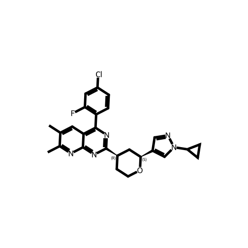 Cc1cc2c(-c3ccc(Cl)cc3F)nc([C@@H]3CCO[C@H](c4cnn(C5CC5)c4)C3)nc2nc1C